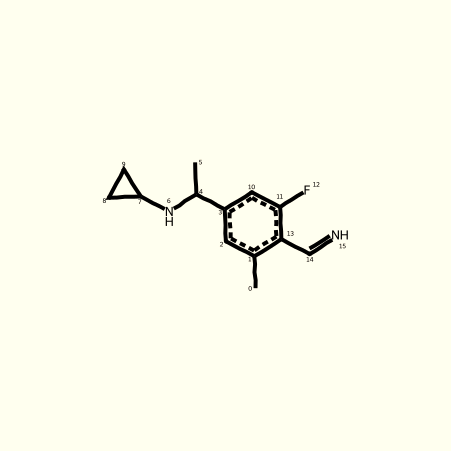 Cc1cc(C(C)NC2CC2)cc(F)c1C=N